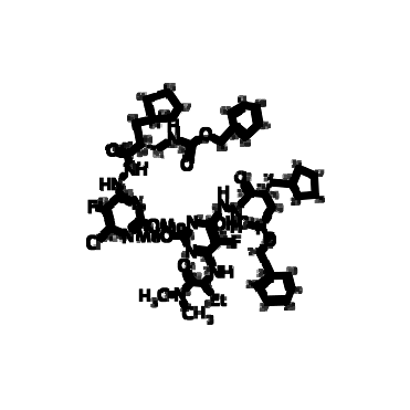 CCC(Nc1nc(OC)nc(NNC(=O)[C@H](CC2CCCC2)CN(C=O)OCc2ccccc2)c1F)C(=O)N(C)C.COc1nc(Cl)c(F)c(NNC(=O)[C@@H](CNC(=O)OCc2ccccc2)CC2CCCC2)n1